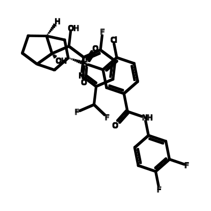 O=C(Nc1ccc(F)c(F)c1)c1ccc(Cl)c(S(=O)(=O)[C@@H]2CC3CC[C@@H](C2)[C@@]3(O)C(O)c2nc(C(F)F)ccc2F)c1